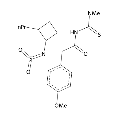 CCCC1CCC1N=S(=O)=O.CNC(=S)NC(=O)Cc1ccc(OC)cc1